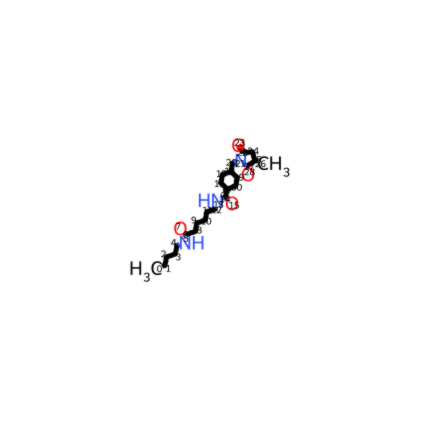 CCCCCNC(=O)CCCCCNC(=O)C1CCC(CN2C(=O)CC(C)C2=O)CC1